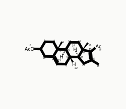 CC(=O)OC1CC[C@@]2(C)C(=CC[C@@H]3[C@@H]2CC[C@]2(C)C(C(C)=O)=C(C)C[C@@H]32)C1